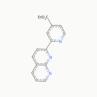 CCOC(=O)c1ccnc(-c2ccc3cccnc3n2)c1